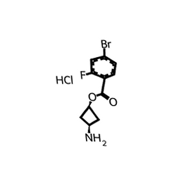 Cl.N[C@H]1C[C@@H](OC(=O)c2ccc(Br)cc2F)C1